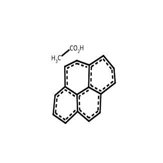 CC(=O)O.c1cc2ccc3cccc4ccc(c1)c2c34